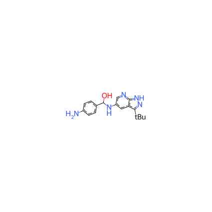 CC(C)(C)c1n[nH]c2ncc(NC(O)c3ccc(N)cc3)cc12